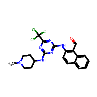 CN1CCC(Nc2nc(Nc3ccc4ccccc4c3C=O)nc(C(Cl)(Cl)Cl)n2)CC1